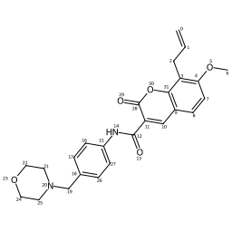 C=CCc1c(OC)ccc2cc(C(=O)Nc3ccc(CN4CCOCC4)cc3)c(=O)oc12